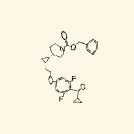 O=C(c1c(F)cc(OCC[C@@H]2C[C@@H]2C2CCN(C(=O)OCc3ccccc3)CC2)cc1F)C1CC1